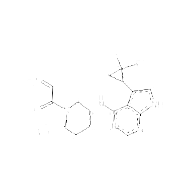 C=CC(=O)N1C[C@H](Nc2ncnc3[nH]cc(C4CC4(F)F)c23)CC[C@@H]1C